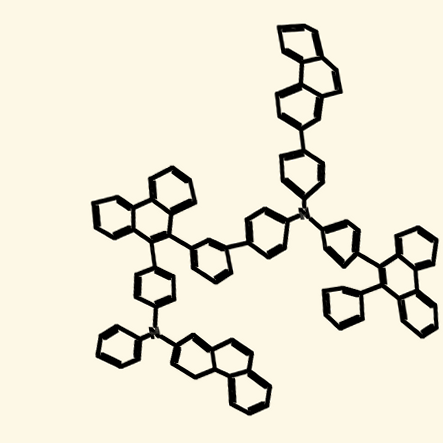 C1=Cc2ccccc2C2CC=C(N(c3ccccc3)c3ccc(-c4c(-c5cccc(-c6ccc(N(c7ccc(-c8ccc9c(ccc%10ccccc%109)c8)cc7)c7ccc(-c8c(-c9ccccc9)c9ccccc9c9ccccc89)cc7)cc6)c5)c5ccccc5c5ccccc45)cc3)C=C12